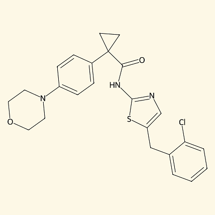 O=C(Nc1ncc(Cc2ccccc2Cl)s1)C1(c2ccc(N3CCOCC3)cc2)CC1